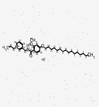 CCCCCCCCCCCCCCCCOc1ccc(C(=O)NCc2ccc[n+](CCC)c2)c(OC)c1.[I-]